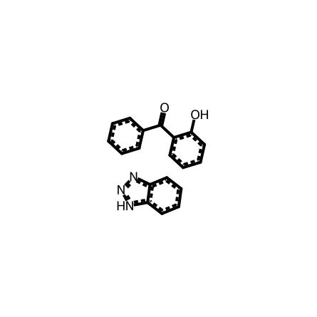 O=C(c1ccccc1)c1ccccc1O.c1ccc2[nH]nnc2c1